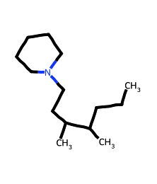 CCCC(C)C(C)CCN1CCCCC1